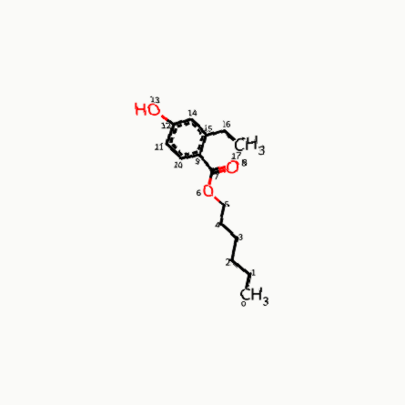 CCCCCCOC(=O)c1ccc(O)cc1CC